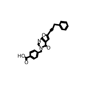 O=C(O)c1ccc(Cn2cnc3oc(C#CCc4ccccc4)cc3c2=O)cc1